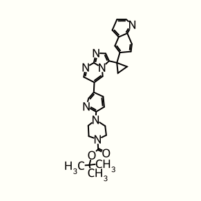 CC(C)(C)OC(=O)N1CCN(c2ccc(-c3cnc4ncc(C5(c6ccc7ncccc7c6)CC5)n4c3)cn2)CC1